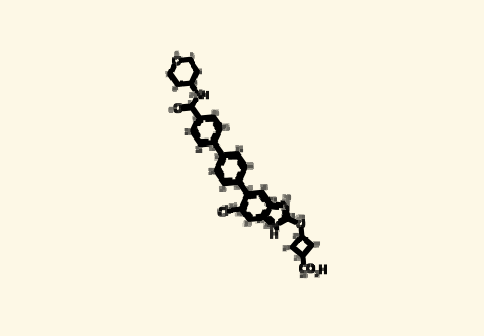 O=C(NC1CCOCC1)c1ccc(-c2ccc(-c3cc4nc(OC5CC(C(=O)O)C5)[nH]c4cc3Cl)cc2)cc1